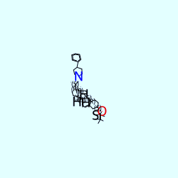 C[C@H](CN1CCC(c2ccccc2)CC1)[C@H]1CC[C@H]2[C@@H]3CC=C4C[C@@H](O[Si](C)(C)C(C)(C)C)CC[C@]4(C)[C@H]3CC[C@]12C